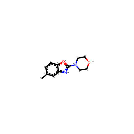 Cc1ccc2oc(N3CCOCC3)nc2c1